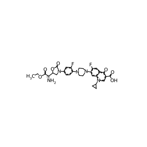 CCOC(=O)[C@@H](N)C1CN(c2ccc(N3CCN(c4cc5c(cc4F)c(=O)c(C(=O)O)cn5C4CC4)CC3)c(F)c2)C(=O)O1